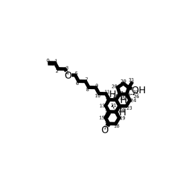 C=CCCOCCCCCCCC1CC2=CC(=O)CC[C@]2(C)[C@@H]2CC[C@@]3(C)[C@@H](CCC3(C)O)[C@H]12